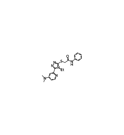 CCn1c(SCC(=O)Nc2ccccc2)nnc1-c1cc(N(C)C)ccn1